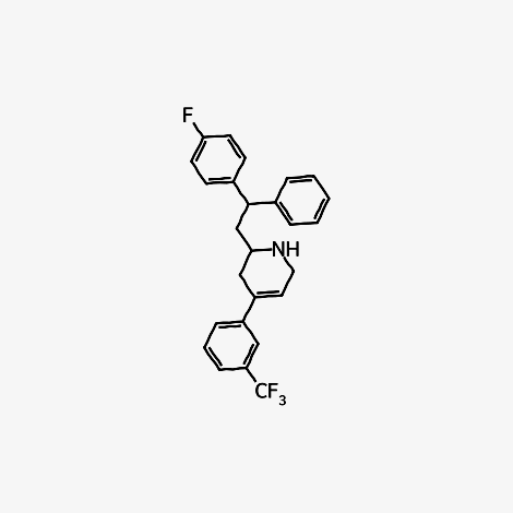 Fc1ccc(C(CC2CC(c3cccc(C(F)(F)F)c3)=CCN2)c2ccccc2)cc1